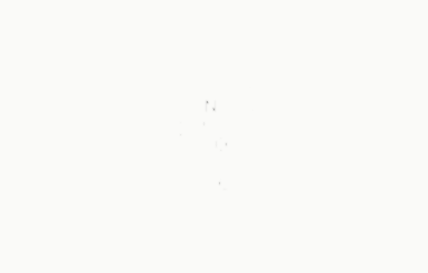 CN(C(=O)OCCl)C1CC1